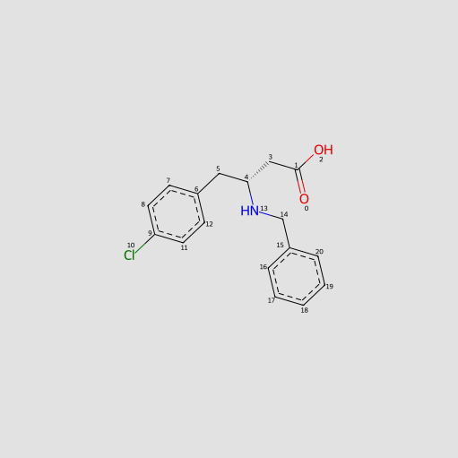 O=C(O)C[C@@H](Cc1ccc(Cl)cc1)NCc1ccccc1